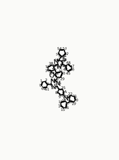 c1ccc(-c2nc(-c3ccc(-n4c5ccccc5c5ccccc54)cc3)nc(-c3cccc4c3oc3cccc(-c5nc(-c6ccccc6)c6sc7ccccc7c6n5)c34)n2)cc1